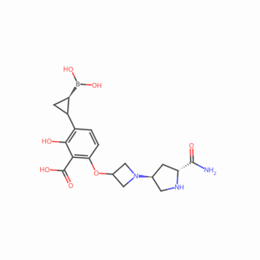 NC(=O)[C@H]1C[C@H](N2CC(Oc3ccc(C4C[C@H]4B(O)O)c(O)c3C(=O)O)C2)CN1